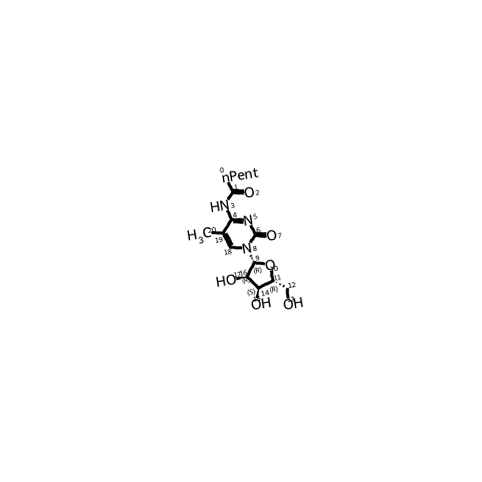 CCCCCC(=O)Nc1nc(=O)n([C@@H]2O[C@H](CO)[C@@H](O)[C@H]2O)cc1C